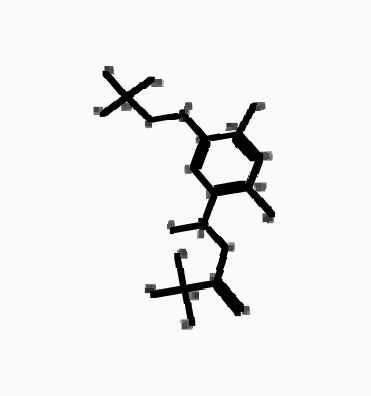 C=C(CB(C)c1cc(SCC(C)(C)C)c(C)cc1C)C(C)(C)C